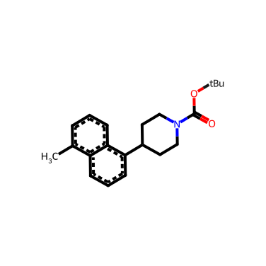 Cc1cccc2c(C3CCN(C(=O)OC(C)(C)C)CC3)cccc12